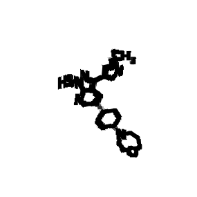 Cn1cc(-c2nn(S)c3ncc([C@H]4CC[C@@H](N5CCCOCC5)CC4)cc23)cn1